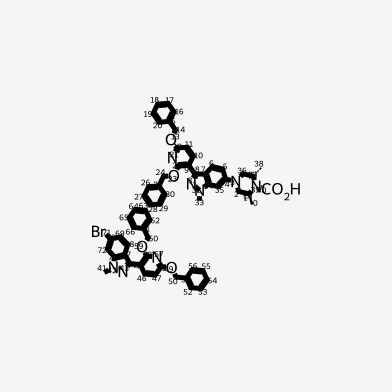 C[C@H]1CN(c2ccc3c(-c4ccc(OCc5ccccc5)nc4OCc4ccccc4)nn(C)c3c2)C[C@H](C)N1C(=O)O.Cn1nc(-c2ccc(OCc3ccccc3)nc2OCc2ccccc2)c2ccc(Br)cc21